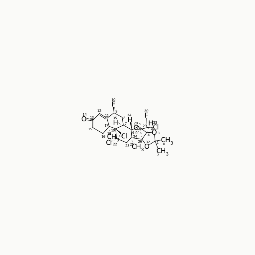 CC1(C)O[C@@H]2C[C@H]3[C@@H]4C[C@H](F)C5=CC(=O)CC[C@]5(C)[C@@]4(Cl)[C@@H](Cl)C[C@]3(C)[C@]2(C(=O)C(F)Cl)O1